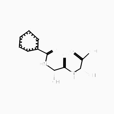 C[C@H](NC(=O)[C@H](C)NC(=O)c1ccccc1)C(=O)O